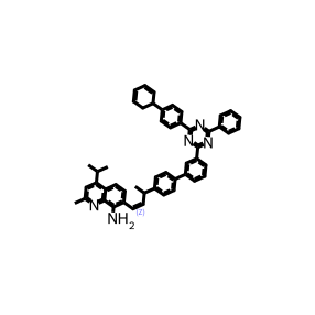 Cc1cc(C(C)C)c2ccc(/C=C\C(C)c3ccc(-c4cccc(-c5nc(-c6ccccc6)nc(-c6ccc(C7C=CC=CC7)cc6)n5)c4)cc3)c(N)c2n1